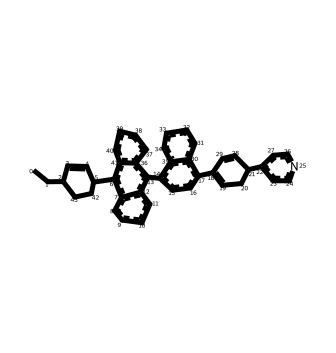 CCC1C=CC(c2c3ccccc3c(-c3ccc(C4=CCC(c5ccncc5)C=C4)c4ccccc34)c3ccccc23)CC1